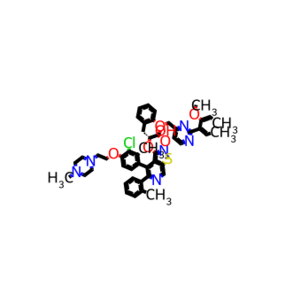 C/C=C(\C(=C/C)OC)c1nccc(COc2ccccc2C[C@@H](Oc2nsc3cnc(-c4ccccc4C)c(-c4ccc(OCCN5CCN(C)CC5)c(Cl)c4C)c23)C(=O)O)n1